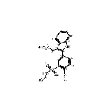 CC(C)(C)CNS(=O)(=O)c1cc(-c2[nH]c3ccccc3c2CC(=O)O)ccc1Cl